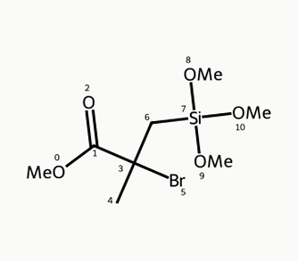 COC(=O)C(C)(Br)C[Si](OC)(OC)OC